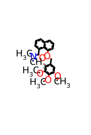 COc1cc(COc2cccc3cccc(C(=O)N(C)C)c23)cc(OC)c1OC